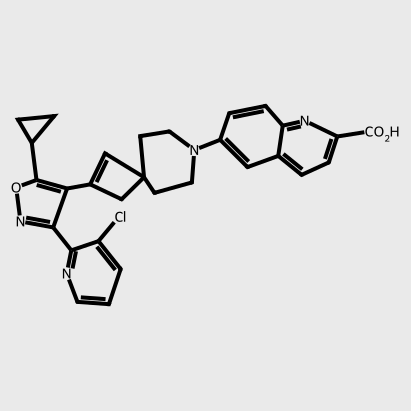 O=C(O)c1ccc2cc(N3CCC4(C=C(c5c(-c6ncccc6Cl)noc5C5CC5)C4)CC3)ccc2n1